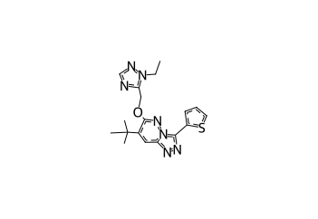 CCn1ncnc1COc1nn2c(-c3cccs3)nnc2cc1C(C)(C)C